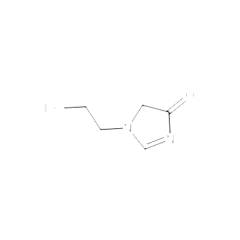 O=C1CN(CCO)C=N1